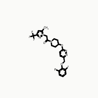 Cc1cc(C(F)(F)F)nn1CC(=O)N1CCC(Oc2ccc(COc3c(F)cccc3F)nn2)CC1